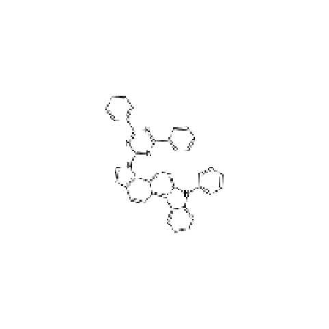 c1ccc(-c2nc(-c3ccccc3)nc(-n3ccc4ccc5c(ccc6c5c5ccccc5n6-c5ccccc5)c43)n2)cc1